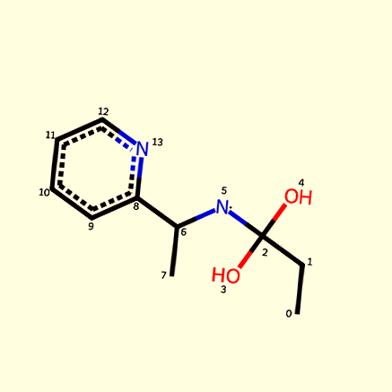 CCC(O)(O)[N]C(C)c1ccccn1